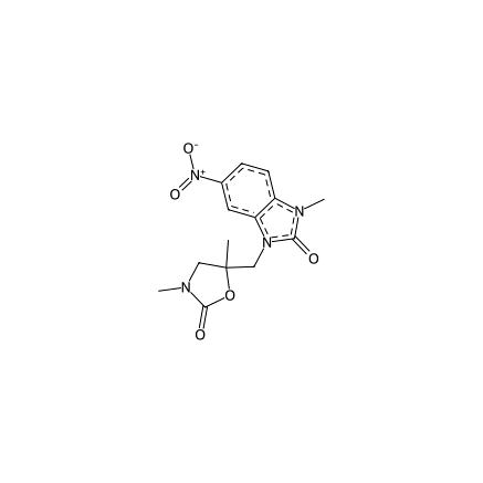 CN1CC(C)(Cn2c(=O)n(C)c3ccc([N+](=O)[O-])cc32)OC1=O